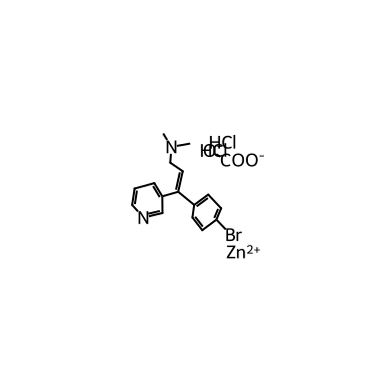 CN(C)C/C=C(/c1ccc(Br)cc1)c1cccnc1.Cl.Cl.O=C([O-])[O-].[Zn+2]